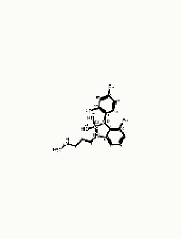 CNCCCN1c2cccc(F)c2N(c2ccc(F)cc2F)S1(O)O